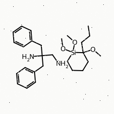 CCCC1(OC)CCCC[Si]1(OC)OC.NCC(N)(Cc1ccccc1)Cc1ccccc1